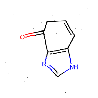 O=C1CC=Cc2[nH]cnc21